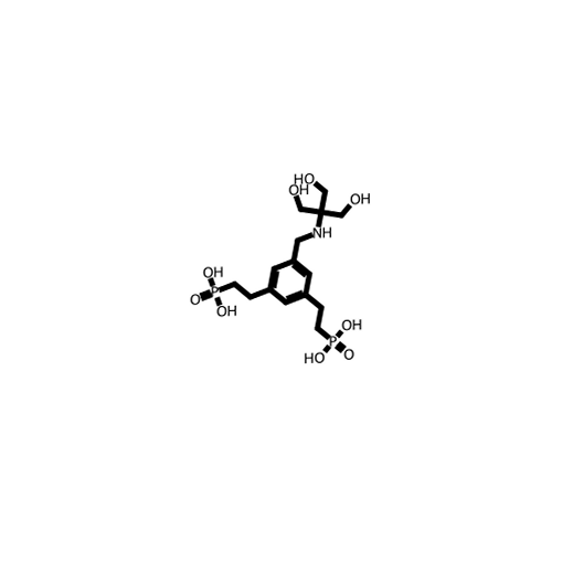 O=P(O)(O)CCc1cc(CCP(=O)(O)O)cc(CNC(CO)(CO)CO)c1